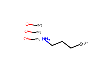 CC(C)[O-].CC(C)[O-].CC(C)[O-].NCC[CH2][Sn+3]